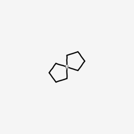 C1C[CH2][U]2([CH2]1)[CH2]CC[CH2]2